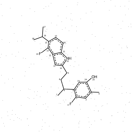 Cc1cc(F)c(C(C)CCc2cc3c(F)c(C(C)C)ccc3[nH]2)cc1O